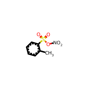 Cc1ccccc1S(=O)(=O)O[N+](=O)[O-]